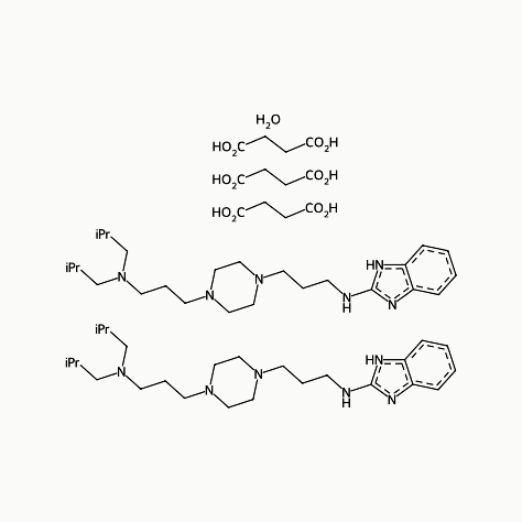 CC(C)CN(CCCN1CCN(CCCNc2nc3ccccc3[nH]2)CC1)CC(C)C.CC(C)CN(CCCN1CCN(CCCNc2nc3ccccc3[nH]2)CC1)CC(C)C.O.O=C(O)CCC(=O)O.O=C(O)CCC(=O)O.O=C(O)CCC(=O)O